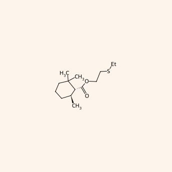 CCSCCOC(=O)[C@@H]1[C@@H](C)CCCC1(C)C